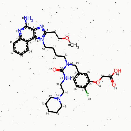 COCCc1nc2c(N)nc3ccccc3c2n1CCCCN(Cc1ccc(F)c(OCC(=O)O)c1)C(=O)NCCN1CCCCC1